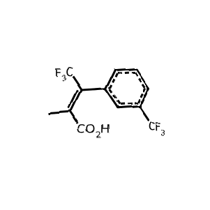 C/C(C(=O)O)=C(/c1cccc(C(F)(F)F)c1)C(F)(F)F